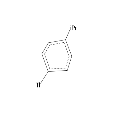 CC(C)c1cc[c]([Tl])cc1